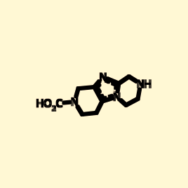 O=C(O)N1CCc2c(nc3n2CCNC3)C1